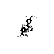 COC1=CCC([C@@H]2Nc3ccc(C(C)(C)C)cc3[C@H]3OCCO[C@H]32)C=C1F